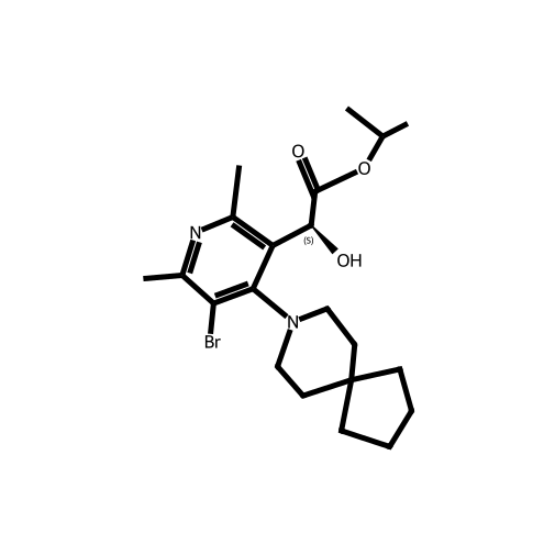 Cc1nc(C)c([C@H](O)C(=O)OC(C)C)c(N2CCC3(CCCC3)CC2)c1Br